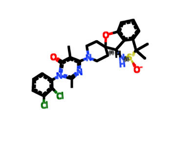 Cc1c(N2CCC3(CC2)Oc2cccc4c2[C@H]3N[S@+]([O-])C4(C)C)nc(C)n(-c2cccc(Cl)c2Cl)c1=O